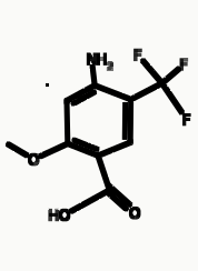 COc1cc(N)c(C(F)(F)F)cc1C(=O)O